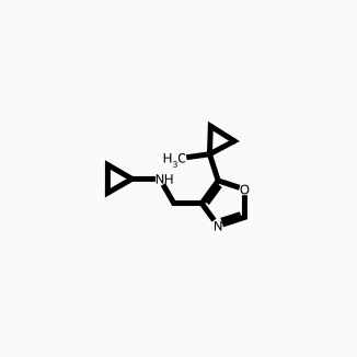 CC1(c2ocnc2CNC2CC2)CC1